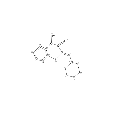 CC(C)OC(=O)/C(=C/N1CCOCC1)Sc1ccccc1